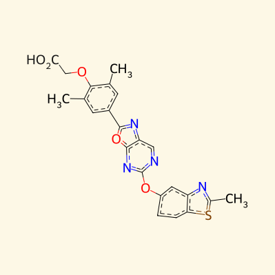 Cc1nc2cc(Oc3ncc4nc(-c5cc(C)c(OCC(=O)O)c(C)c5)oc4n3)ccc2s1